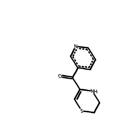 O=C(C1=CSCCN1)c1cccnc1